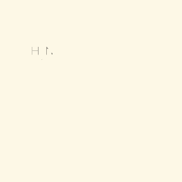 CC.Nc1ccc2ccccc2c1